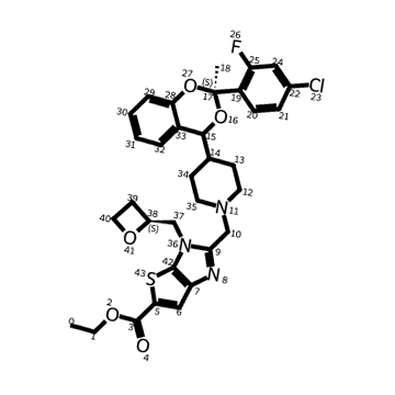 CCOC(=O)c1cc2nc(CN3CCC(C4O[C@](C)(c5ccc(Cl)cc5F)Oc5ccccc54)CC3)n(C[C@@H]3CCO3)c2s1